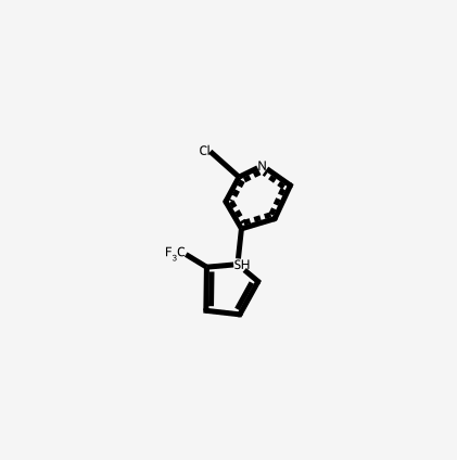 FC(F)(F)C1=CC=C[SH]1c1ccnc(Cl)c1